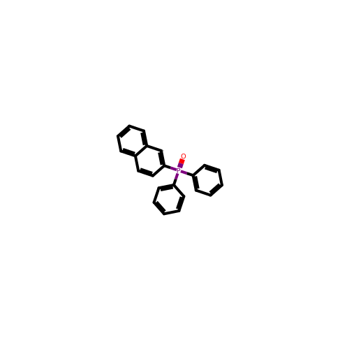 O=P(c1[c]c2ccccc2cc1)(c1ccccc1)c1ccccc1